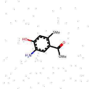 COC(=O)c1cc(N)c(O)cc1SC